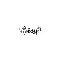 C[C@]12CC[C@H](OC(=O)[C@H](N)CCC(N)=O)CC1=CC[C@@H]1[C@@H]2CC[C@]2(C)C(c3cccnc3)=CC[C@@H]12